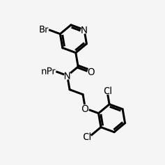 CCCN(CCOc1c(Cl)cccc1Cl)C(=O)c1cncc(Br)c1